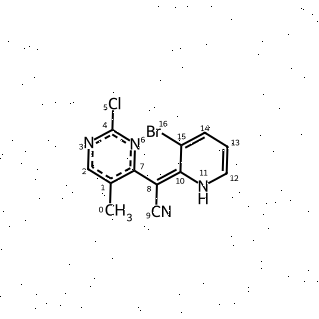 Cc1cnc(Cl)nc1/C(C#N)=C1/NC=CC=C1Br